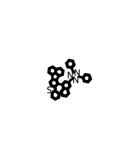 c1ccc(-c2nc(-c3ccccc3)nc(-c3cc(-c4c5c(cc6sc7ccccc7c46)-c4cccc6cccc-5c46)c4ccccc4c3)n2)cc1